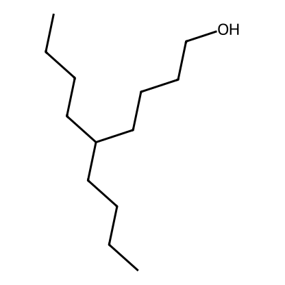 CCCCC(CCCC)CCCCO